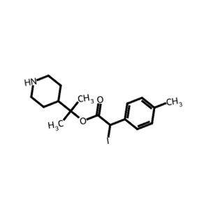 Cc1ccc(C(I)C(=O)OC(C)(C)C2CCNCC2)cc1